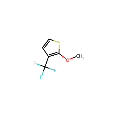 COc1sc[c]c1C(F)(F)F